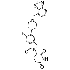 O=C1CCC(N2Cc3cc(C4CCN(Cc5cccc6ncsc56)CC4)c(F)cc3C2=O)C(=O)N1